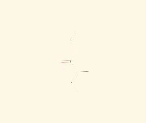 C=COC(=O)/C(C)=C/C